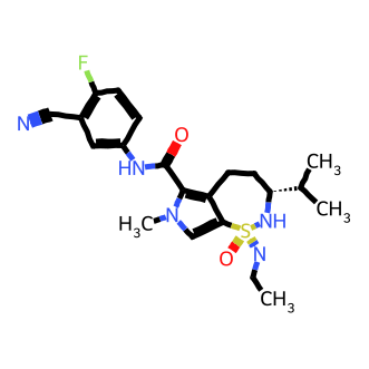 CCN=S1(=O)N[C@@H](C(C)C)CCc2c1cn(C)c2C(=O)Nc1ccc(F)c(C#N)c1